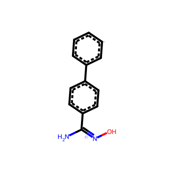 N/C(=N/O)c1ccc(-c2c[c]ccc2)cc1